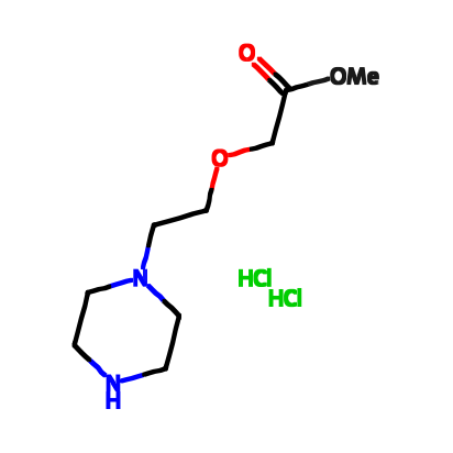 COC(=O)COCCN1CCNCC1.Cl.Cl